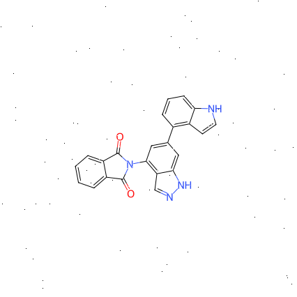 O=C1c2ccccc2C(=O)N1c1cc(-c2cccc3[nH]ccc23)cc2[nH]ncc12